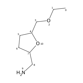 CCOCC1CCC(CN)O1